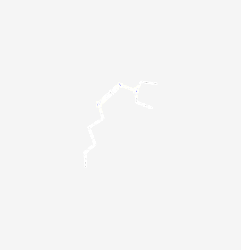 CCCCCN=C=NN(CC)CC